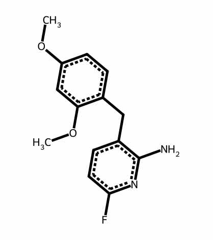 COc1ccc(Cc2ccc(F)nc2N)c(OC)c1